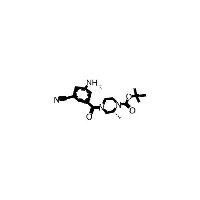 C[C@@H]1CN(C(=O)c2cc(N)cc(C#N)c2)CCN1C(=O)OC(C)(C)C